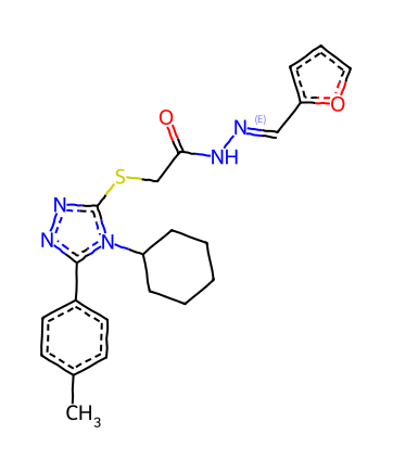 Cc1ccc(-c2nnc(SCC(=O)N/N=C/c3ccco3)n2C2CCCCC2)cc1